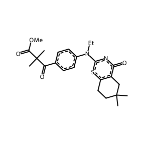 CCN(c1ccc(C(=O)C(C)(C)C(=O)OC)cc1)c1nc(=O)c2c(s1)CCC(C)(C)C2